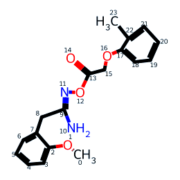 COc1ccccc1C/C(N)=N/OC(=O)COc1ccccc1C